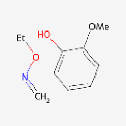 C=NOCC.COc1ccccc1O